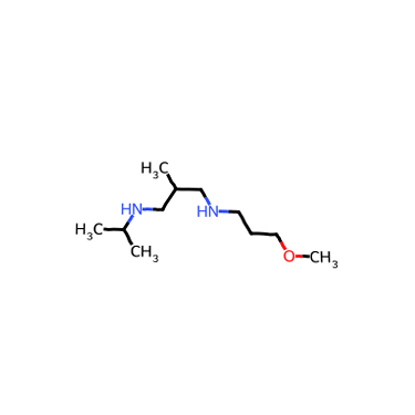 COCCCNCC(C)CNC(C)C